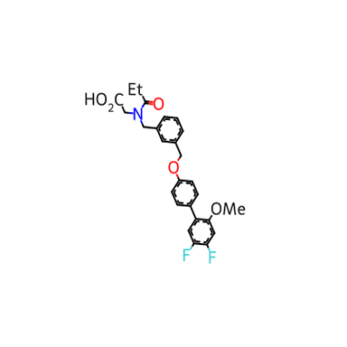 CCC(=O)N(CC(=O)O)Cc1cccc(COc2ccc(-c3cc(F)c(F)cc3OC)cc2)c1